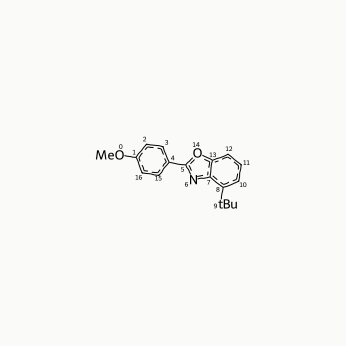 COc1ccc(-c2nc3c(C(C)(C)C)cccc3o2)cc1